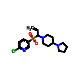 C=CC(N1CCC(N2CCCC2)CC1)S(=O)(=O)c1ccc(Cl)nc1